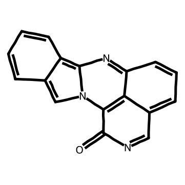 O=c1ncc2cccc3nc4c5ccccc5cn4c1c23